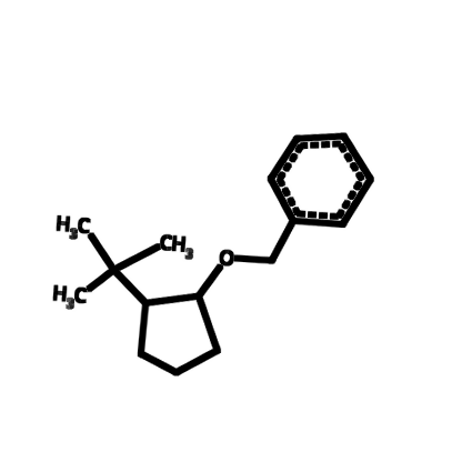 CC(C)(C)C1CCCC1OCc1ccccc1